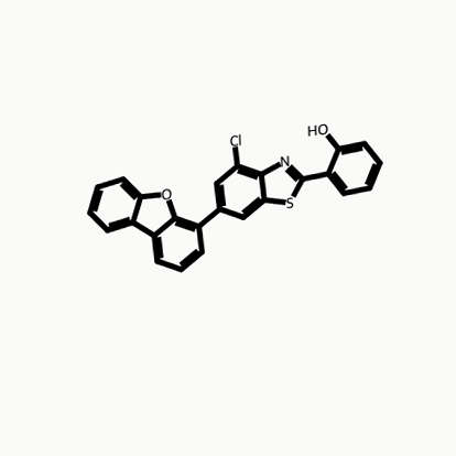 Oc1ccccc1-c1nc2c(Cl)cc(-c3cccc4c3oc3ccccc34)cc2s1